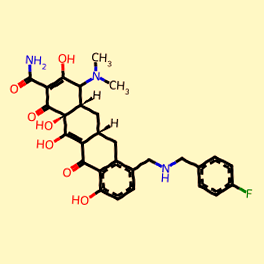 CN(C)C1C(O)=C(C(N)=O)C(=O)[C@@]2(O)C(O)=C3C(=O)c4c(O)ccc(CNCc5ccc(F)cc5)c4C[C@H]3C[C@@H]12